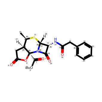 CC(C)COC(=O)[C@]12OC(=O)C[C@H]1[C@@H](C)S[C@@H]1[C@H](NC(=O)Cc3ccccc3)C(=O)N12